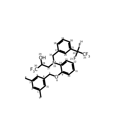 Cc1cc(C)cc(COc2ccccc2N(Cc2cccc(C(F)(F)C(F)(F)F)c2)CC(O)C(F)(F)F)c1